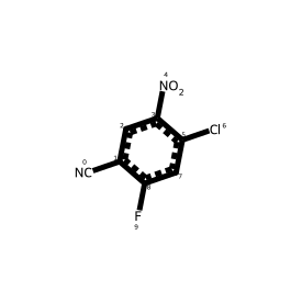 N#Cc1cc([N+](=O)[O-])c(Cl)cc1F